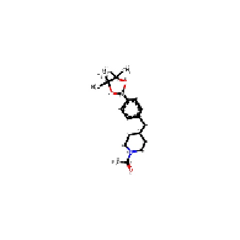 CC1(C)OB(c2ccc(CC3CCN(C(=O)C(F)(F)F)CC3)cc2)OC1(C)C